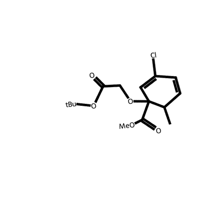 COC(=O)C1(OCC(=O)OC(C)(C)C)C=C(Cl)C=CC1C